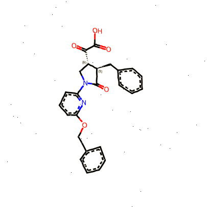 O=C(O)C(=O)[C@H]1CN(c2cccc(OCc3ccccc3)n2)C(=O)[C@@H]1Cc1ccccc1